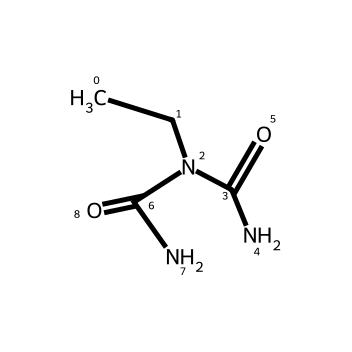 CCN(C(N)=O)C(N)=O